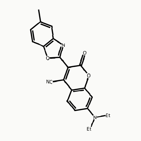 CCN(CC)c1ccc2c(C#N)c(-c3nc4cc(C)ccc4o3)c(=O)oc2c1